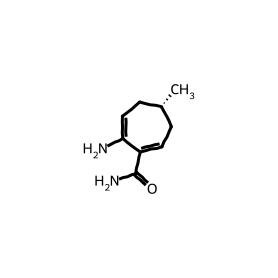 C[C@H]1CC=C(N)C(C(N)=O)=CC1